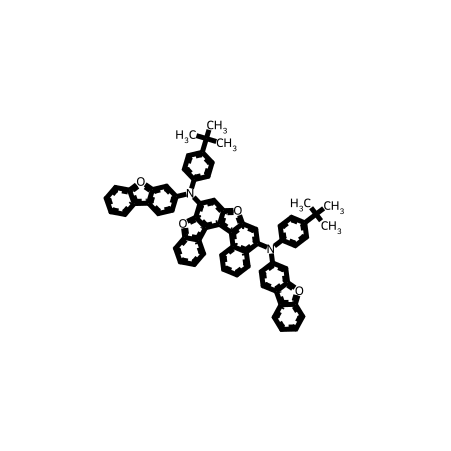 CC(C)(C)c1ccc(N(c2ccc3c(c2)oc2ccccc23)c2cc3oc4cc(N(c5ccc(C(C)(C)C)cc5)c5ccc6c(c5)oc5ccccc56)c5oc6ccccc6c5c4c3c3ccccc23)cc1